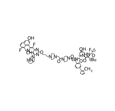 C#Cc1c(F)ccc2cc(O)cc(-c3ncc4c(N5CC6CCC(C5)N6)nc(OCCCN5CCN(CC(=O)N6CCN(C(=O)CC(NC(=O)[C@@H]7C[C@@H](O)CN7C(=O)[C@@H](NC(=O)C7(F)CC7)C(C)(C)C)c7ccc(C8=C(C)C=CC8)cc7)CC6)CC5)nc4c3F)c12